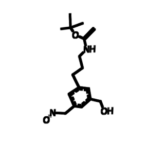 C=C(NCCCc1cc(CO)cc(CN=O)c1)OC(C)(C)C